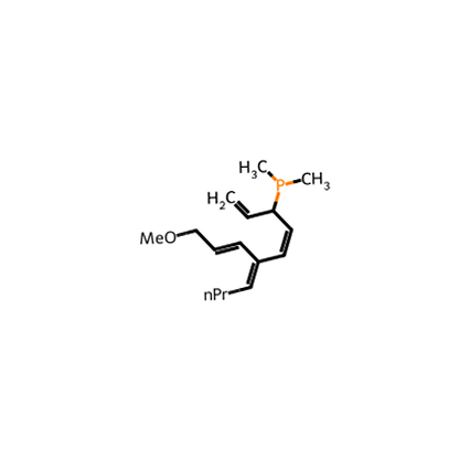 C=CC(/C=C\C(=CCCC)/C=C/COC)P(C)C